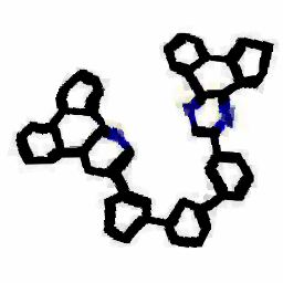 C1=C(c2cccc(-c3cccc(-c4cccc(-c5cnc6c7ccccc7c7ccccc7c6n5)c4)c3)c2)CC2C(=N1)c1ccccc1-c1ccccc12